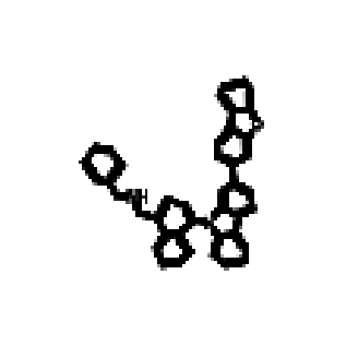 c1ccc(CNCc2ccc(-n3c4ccccc4c4ccc(-c5ccc6c(c5)oc5ccccc56)cc43)c3ccccc23)cc1